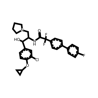 O=C(NC(CN1CCCC1)C(O)c1ccc(OC2CC2)c(Cl)c1)C(F)(F)c1ccc(-c2ccc(F)cc2)cc1